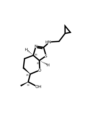 C[C@H](O)[C@H]1CC[C@H]2N=C(NCC3CC3)S[C@H]2O1